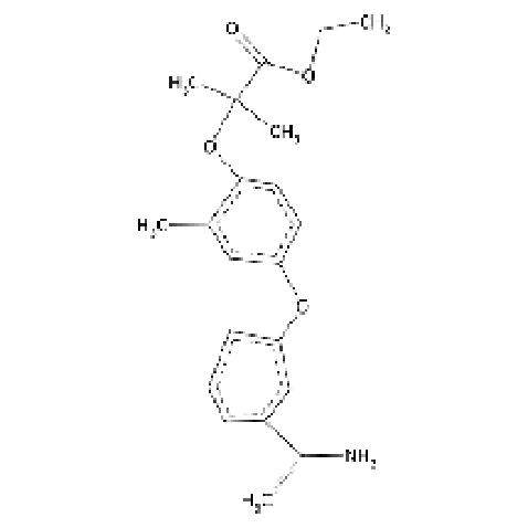 CCOC(=O)C(C)(C)Oc1ccc(Oc2cccc([C@@H](C)N)c2)cc1C